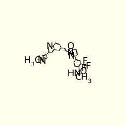 CNC(=O)c1ccc(-c2ccc(=O)n(C=Cc3ccc4ncc(-c5cnn(C)c5)cc4c3)n2)cc1C(F)(F)F